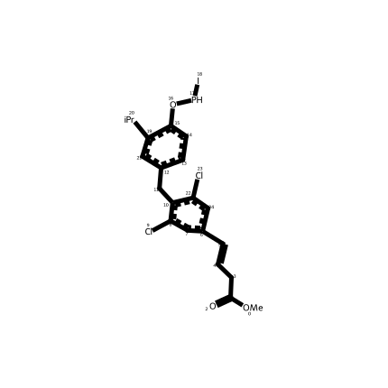 COC(=O)C/C=C/c1cc(Cl)c(Cc2ccc(OPI)c(C(C)C)c2)c(Cl)c1